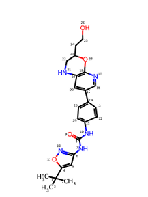 CC(C)(C)c1cc(NC(=O)Nc2ccc(-c3cnc4c(c3)NCC(CCO)O4)cc2)no1